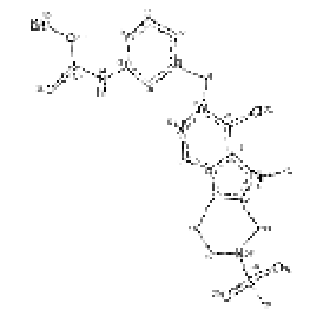 Cn1c2c(c3cnn(Cc4cccc(NC(=O)OC(C)(C)C)c4)c(=O)c31)CCN(S(C)(=O)=O)C2